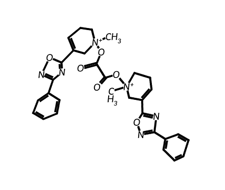 C[N+]1(OC(=O)C(=O)O[N+]2(C)CCC=C(c3nc(-c4ccccc4)no3)C2)CCC=C(c2nc(-c3ccccc3)no2)C1